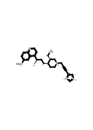 COc1ccc2nccc([C@H](F)CC[C@@H]3CCN(CC#Cc4cscn4)C[C@@H]3CO)c2c1